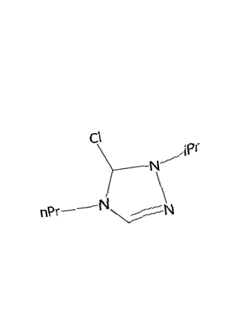 CCCN1C=NN(C(C)C)C1Cl